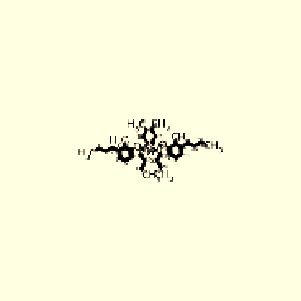 CCCCc1cccc([O][Sn]([CH2]CCC)([CH2]CCC)[O][Sn]([CH2]CCC)([CH2]CCC)[O]c2cccc(CCCC)c2C)c1C